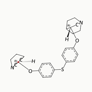 c1cc(Sc2ccc(O[C@H]3CN4CCC3CC4)cc2)ccc1O[C@H]1CN2CCC1CC2